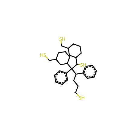 S[CH]CCC(c1ccccc1)C([C](S)C1CCCC(CS)C1)(c1ccccc1)C1CCCC(CS)C1